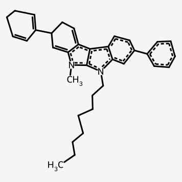 CCCCCCCCn1c2cc(-c3ccccc3)ccc2c2c3c(n(C)c21)=CC(C1=CCCC=C1)CC=3